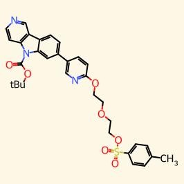 Cc1ccc(S(=O)(=O)OCCOCCOc2ccc(-c3ccc4c5cnccc5n(C(=O)OC(C)(C)C)c4c3)cn2)cc1